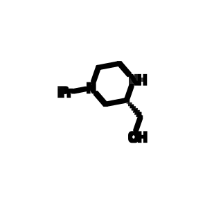 CC(C)N1CCN[C@H](CO)C1